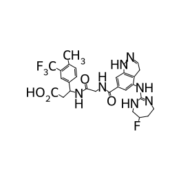 Cc1ccc(C(CC(=O)O)NC(=O)CNC(=O)c2cc3c(c(NC4=NCCC(F)CN4)c2)CC=NN3)cc1C(F)(F)F